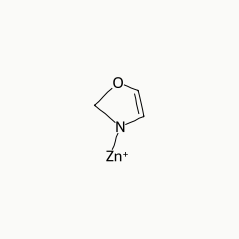 [Zn+][N]1C=COC1